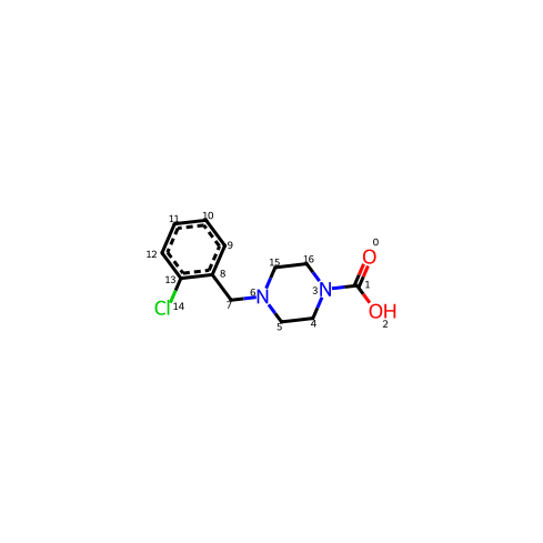 O=C(O)N1CCN(Cc2ccccc2Cl)CC1